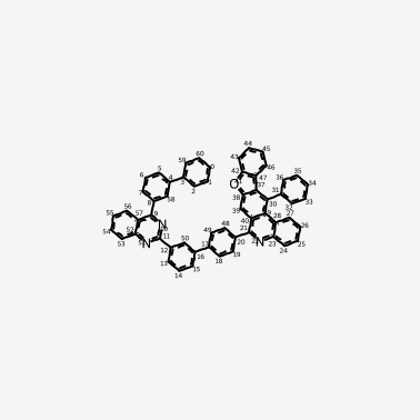 c1ccc(-c2cccc(-c3nc(-c4cccc(-c5ccc(-c6nc7ccccc7c7c(-c8ccccc8)c8c(cc67)oc6ccccc68)cc5)c4)nc4ccccc34)c2)cc1